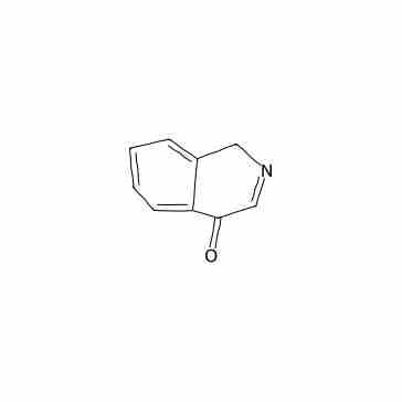 O=C1C=NCc2ccccc21